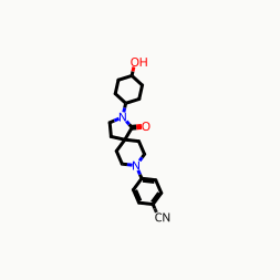 N#Cc1ccc(N2CCC3(CC2)CCN(C2CCC(O)CC2)C3=O)cc1